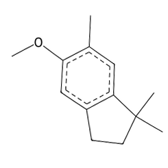 COc1cc2c(cc1C)C(C)(C)CC2